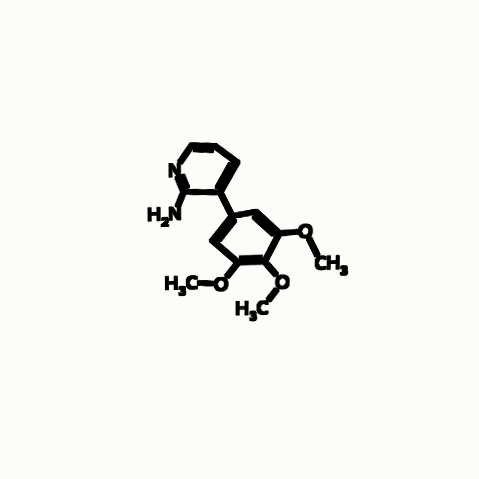 COc1cc(-c2cccnc2N)cc(OC)c1OC